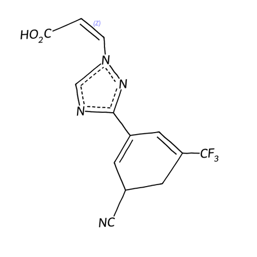 N#CC1C=C(c2ncn(/C=C\C(=O)O)n2)C=C(C(F)(F)F)C1